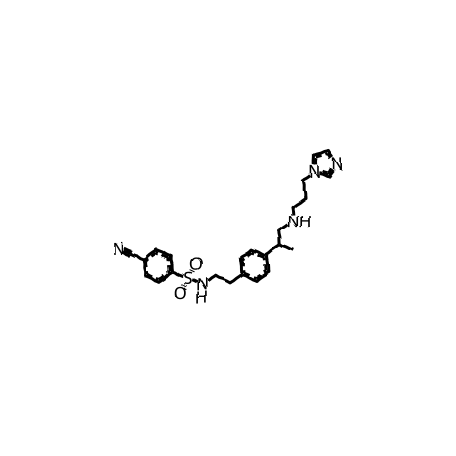 CC(CNCCCn1ccnc1)c1ccc(CCNS(=O)(=O)c2ccc(C#N)cc2)cc1